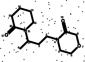 CC(CCN1CCOCC1=O)N1CCCCC1=O